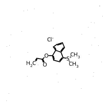 C=CC(=O)Oc1ccc([S+](C)C)c2ccccc12.[Cl-]